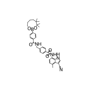 Cc1ccc(NS(=O)(=O)c2ccc(CNC(=O)c3ccc(B4OCCCCC(C)(C)C(C)(C)O4)cc3)cc2)c2[nH]cc(C#N)c12